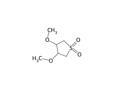 COC1CS(=O)(=O)CC1OC